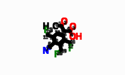 CC(=O)CC(=O)O.N#Cc1c(CF)ccc(CF)c1CF